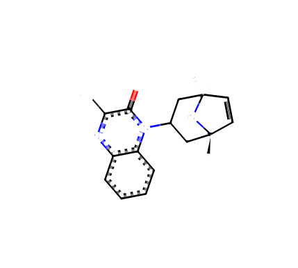 CCOC(=O)c1nc2ccccc2n(C2C[C@H]3C=C[C@H](C2)N3)c1=O